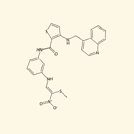 CSC(=CNc1cccc(NC(=O)c2sccc2NCc2ccnc3ccccc23)c1)[N+](=O)[O-]